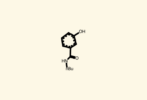 CCCCNC(=O)c1cccc(O)c1